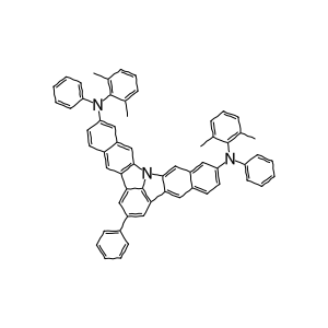 Cc1cccc(C)c1N(c1ccccc1)c1ccc2cc3c4cc(-c5ccccc5)cc5c6cc7ccc(N(c8ccccc8)c8c(C)cccc8C)cc7cc6n(c3cc2c1)c45